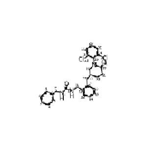 O=C(NCc1ccccc1)NCc1ccccc1CC1CCC(=O)N(c2c(Cl)cccc2Cl)C1